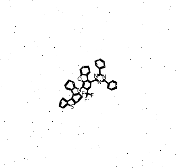 FC(F)(F)c1cc(-c2nc(-c3ccccc3)nc(-c3ccccc3)n2)c2c(oc3ccccc32)c1-n1c2ccccc2c2c3c(ccc21)sc1ccccc13